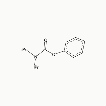 CC(C)N(C(=O)Oc1ccccc1)C(C)C